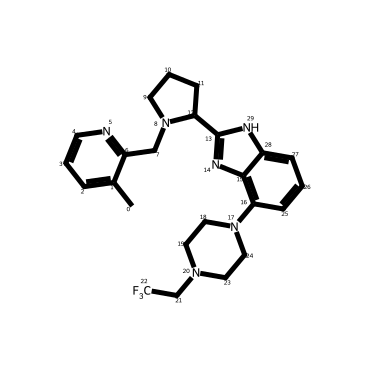 Cc1cccnc1CN1CCCC1c1nc2c(N3CCN(CC(F)(F)F)CC3)cccc2[nH]1